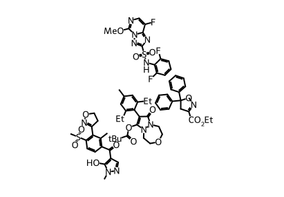 CCOC(=O)C1=NOC(c2ccccc2)(c2ccccc2)C1.CCc1cc(C)cc(CC)c1-c1c(OC(=O)C(C)(C)C)n2n(c1=O)CCOCC2.COc1ncc(F)c2nc(S(=O)(=O)Nc3c(F)cccc3F)nn12.Cc1c(C(=O)c2cnn(C)c2O)ccc(S(C)(=O)=O)c1C1=NOCC1